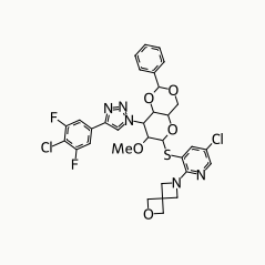 COC1C(Sc2cc(Cl)cnc2N2CC3(COC3)C2)OC2COC(c3ccccc3)OC2C1n1cc(-c2cc(F)c(Cl)c(F)c2)nn1